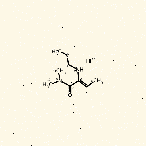 CC=C(NCCC)C(=O)N(C)C.I